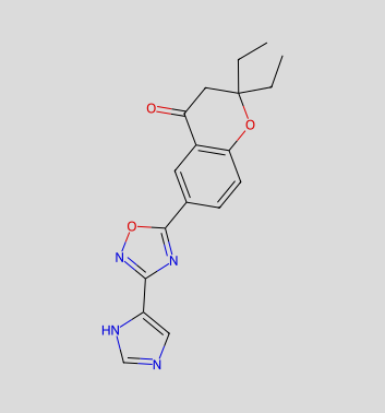 CCC1(CC)CC(=O)c2cc(-c3nc(-c4cnc[nH]4)no3)ccc2O1